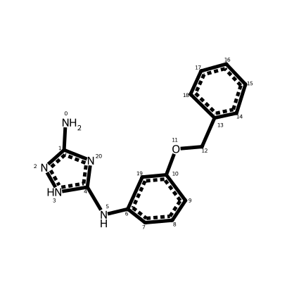 Nc1n[nH]c(Nc2cccc(OCc3ccccc3)c2)n1